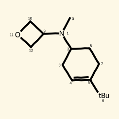 CN(C1CC=C(C(C)(C)C)CC1)C1COC1